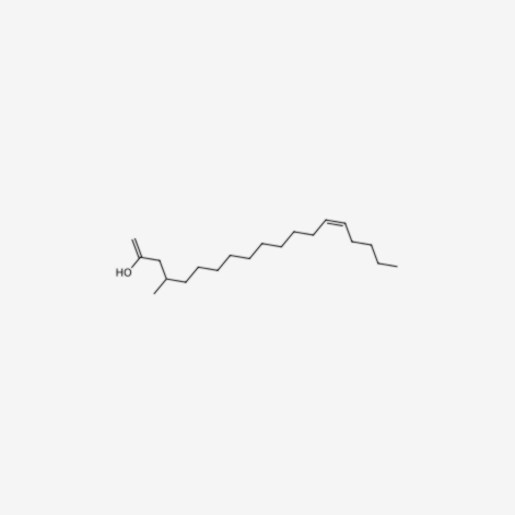 C=C(O)CC(C)CCCCCCCCC/C=C\CCCC